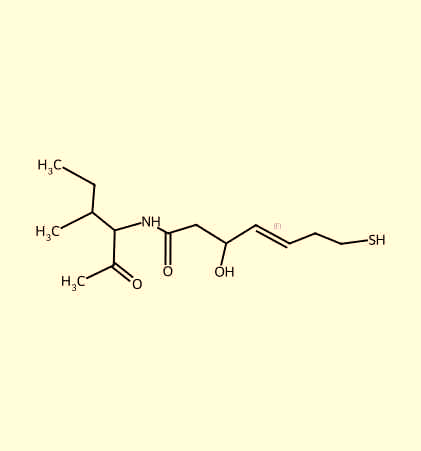 CCC(C)C(NC(=O)CC(O)/C=C/CCS)C(C)=O